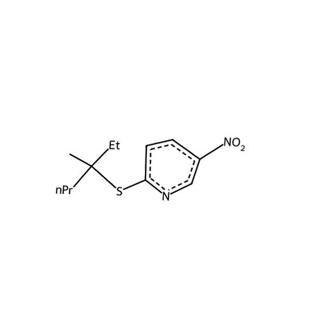 CCCC(C)(CC)Sc1ccc([N+](=O)[O-])cn1